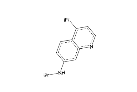 CC(C)Nc1ccc2c(C(C)C)ccnc2c1